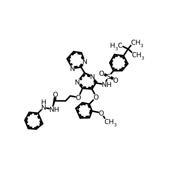 COc1ccccc1Oc1c(NS(=O)(=O)c2ccc(C(C)(C)C)cc2)nc(-c2ncccn2)nc1OCCC(=O)NNc1ccccc1